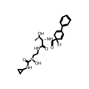 CCC1(C(=O)N[C@H](C(=O)NCCN(O)C(=O)NC2CC2)[C@@H](C)O)C=CC(c2ccccc2)=CC1